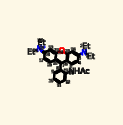 CCN(CC)c1ccc2c(-c3ccccc3NC(C)=O)c3ccc(=[N+](CC)CC)cc-3oc2c1